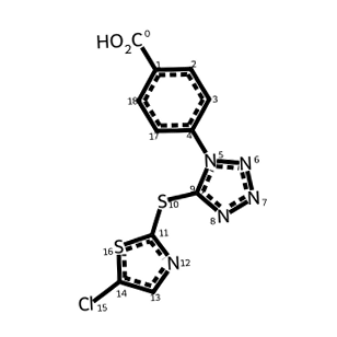 O=C(O)c1ccc(-n2nnnc2Sc2ncc(Cl)s2)cc1